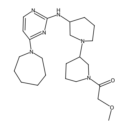 COCC(=O)N1CCCC(N2CCCC(Nc3nccc(N4CCCCCC4)n3)C2)C1